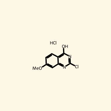 COc1ccc2c(O)nc(Cl)nc2c1.Cl